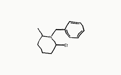 CCC1CCCC(C)N1Cc1ccccc1